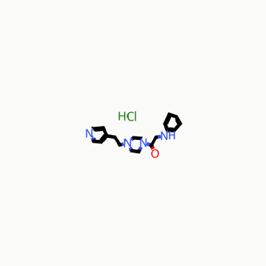 Cl.O=C(CNc1ccccc1)N1CCN(CCc2ccncc2)CC1